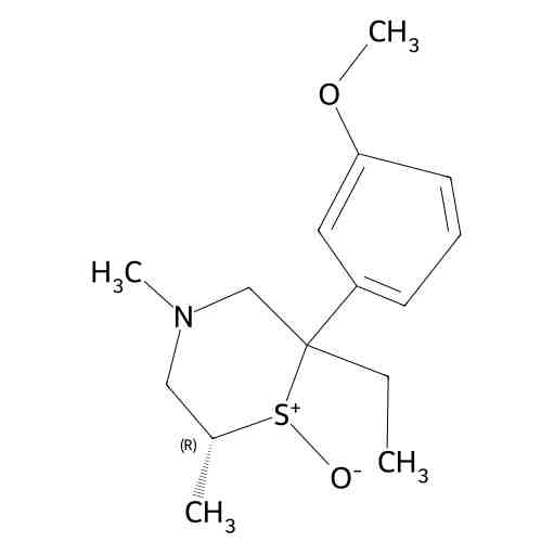 CCC1(c2cccc(OC)c2)CN(C)C[C@@H](C)[S+]1[O-]